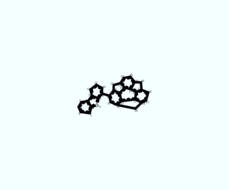 c1ccc2c(c1)sc1c(-c3cc4c5c6c(ccc7c6c6c(ccc8c6c5c3C8)C7)C4)cccc12